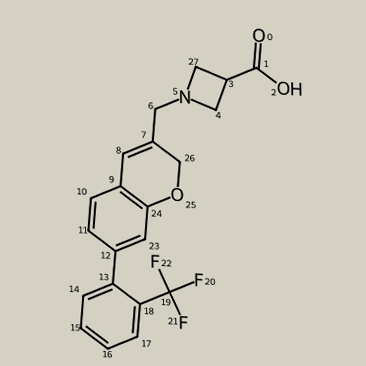 O=C(O)C1CN(CC2=Cc3ccc(-c4ccccc4C(F)(F)F)cc3OC2)C1